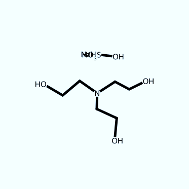 O=S(=O)(O)O.OCCN(CCO)CCO.[NaH]